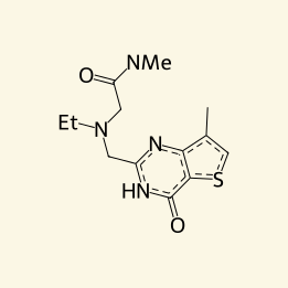 CCN(CC(=O)NC)Cc1nc2c(C)csc2c(=O)[nH]1